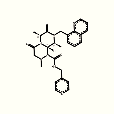 C[C@H]1[C@H]2N(C(=O)CN(C)N2C(=O)NCc2ccncc2)[C@@H](C)C(=O)N1Cc1cccc2cccnc12